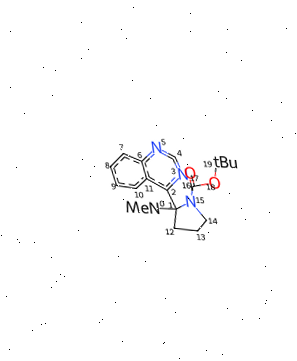 CNC1(c2ncnc3ccccc23)CCCN1C(=O)OC(C)(C)C